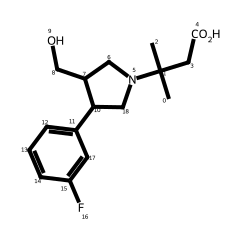 CC(C)(CC(=O)O)N1CC(CO)C(c2cccc(F)c2)C1